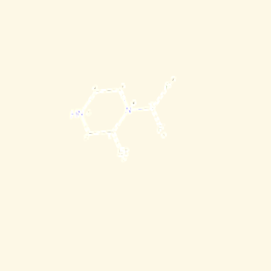 CCC1CNCCN1C(F)F